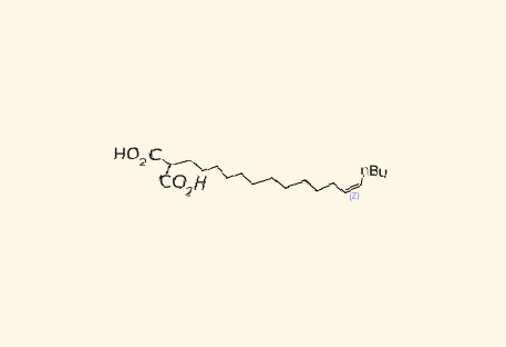 CCCC/C=C\CCCCCCCCCCCC(C(=O)O)C(=O)O